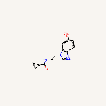 O=C(NCCn1cnc2ccc(O)cc21)C1CC1